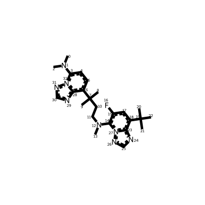 CN(C)c1ccc(C(C)(C)CCN(C)c2c(F)cc(C(C)(C)C)c3ncnn23)c2ncnn12